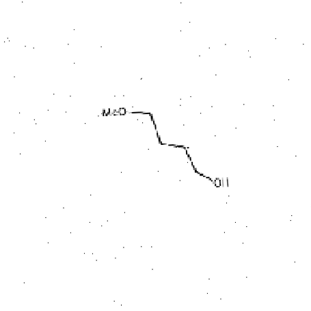 COCC[CH]CO